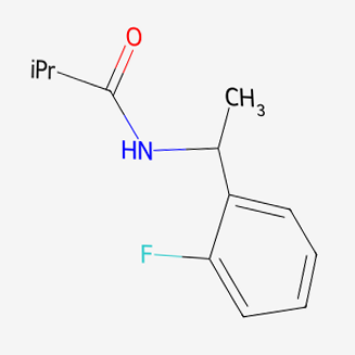 CC(C)C(=O)NC(C)c1ccccc1F